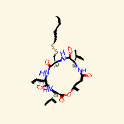 C=CCCSSC[C@H]1NC(=O)[C@@H](C(C)C)NC(=O)CC(C)OC(=O)[C@H](C(C)C)NC(=O)/C(=C\C)NC1=O